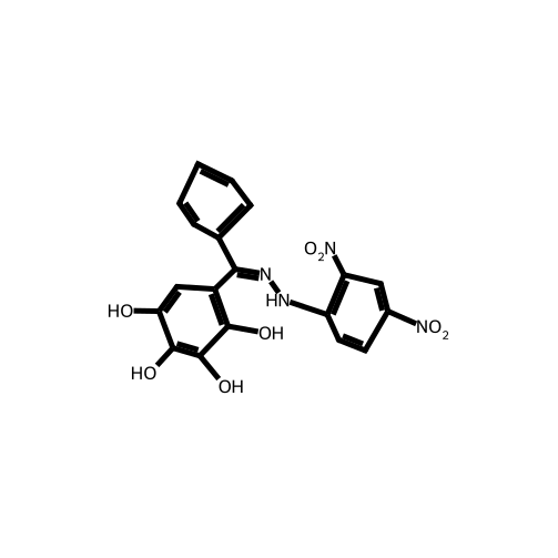 O=[N+]([O-])c1ccc(NN=C(c2ccccc2)c2cc(O)c(O)c(O)c2O)c([N+](=O)[O-])c1